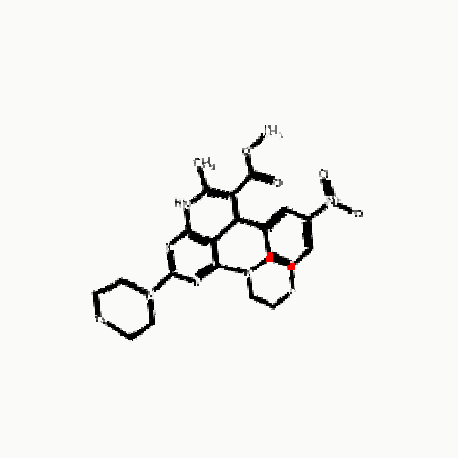 COC(=O)C1=C(C)Nc2nc(N3CCOCC3)nc(N3CCOCC3)c2C1c1cccc([N+](=O)[O-])c1